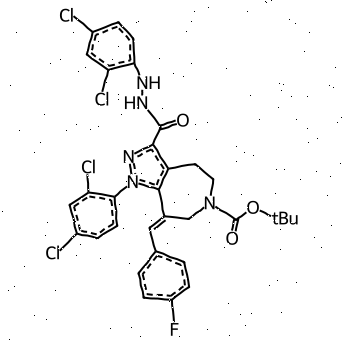 CC(C)(C)OC(=O)N1CCc2c(C(=O)NNc3ccc(Cl)cc3Cl)nn(-c3ccc(Cl)cc3Cl)c2C(=Cc2ccc(F)cc2)C1